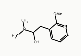 COc1n[c]ccc1CC(O)N(C)C